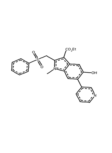 CCOC(=O)c1c(CS(=O)(=O)c2ccccc2)n(C)c2cc(-c3cccnc3)c(O)cc12